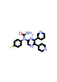 NC(=O)N(c1ccc(F)cc1)c1cnc(-c2ccncc2)c(-c2cccnc2)n1